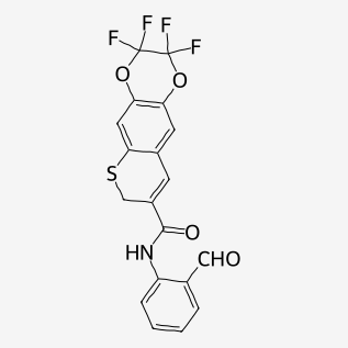 O=Cc1ccccc1NC(=O)C1=Cc2cc3c(cc2SC1)OC(F)(F)C(F)(F)O3